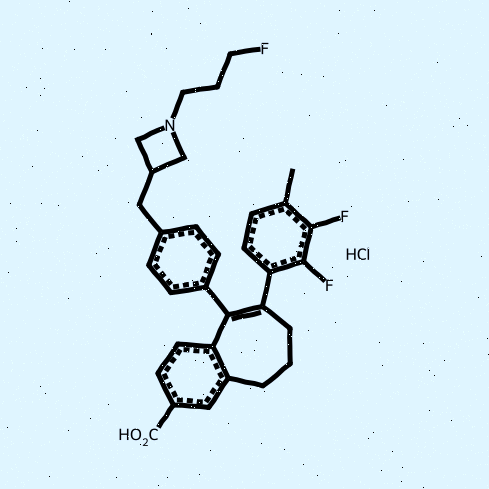 Cc1ccc(C2=C(c3ccc(CC4CN(CCCF)C4)cc3)c3ccc(C(=O)O)cc3CCC2)c(F)c1F.Cl